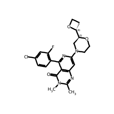 Cc1nc2cc(N3CCO[C@H]([C@H]4CCO4)C3)nc(-c3ccc(Cl)cc3F)c2c(=O)n1C